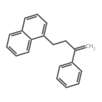 C=C(CCc1cccc2ccccc12)c1ccccc1